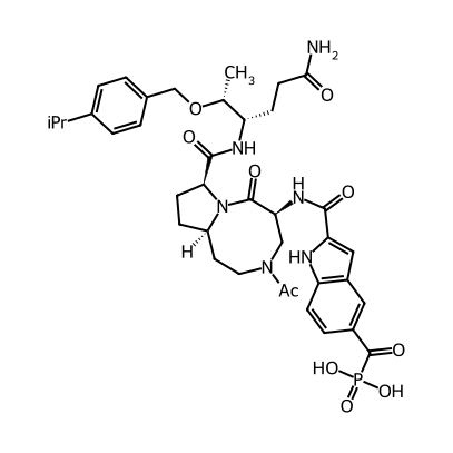 CC(=O)N1CC[C@H]2CC[C@@H](C(=O)N[C@@H](CCC(N)=O)[C@@H](C)OCc3ccc(C(C)C)cc3)N2C(=O)[C@@H](NC(=O)c2cc3cc(C(=O)P(=O)(O)O)ccc3[nH]2)C1